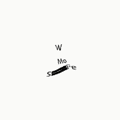 [Mo].[S]=[Fe].[W]